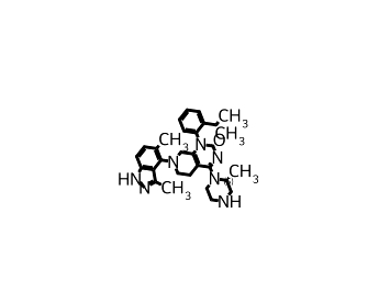 Cc1ccc2[nH]nc(C)c2c1N1CCc2c(N3CCNC[C@@H]3C)nc(=O)n(-c3ccccc3C(C)C)c2C1